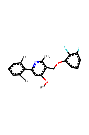 CCc1cccc(CC)c1-c1cc(OC(C)C)c(COc2cccc(F)c2F)c(C)n1